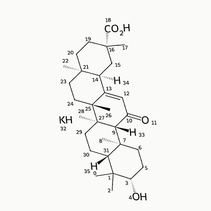 CC1(C)[C@@H](O)CC[C@]2(C)[C@H]3C(=O)C=C4[C@@H]5C[C@@](C)(C(=O)O)CC[C@]5(C)CC[C@@]4(C)[C@]3(C)CC[C@@H]12.[KH]